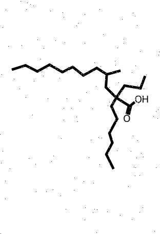 CCCCCCCCC(C)CC(CCC)(CCCCCC)C(=O)O